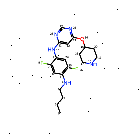 CCCCNc1cc(F)c(Nc2cc(OC3CCNCC3)ncn2)cc1F